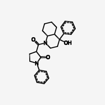 O=C1C(C(=O)N2CCC(O)(c3ccccc3)C3CCCCC32)CCN1c1ccccc1